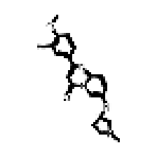 COc1ccc(-c2cc(=O)n3cc(N[C@]4(C)CCN(C)C4)ccc3n2)cc1F